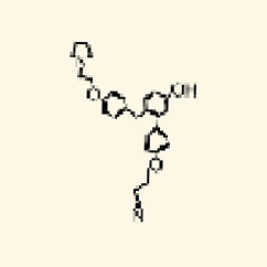 N#CCCCOc1ccc(-c2cc(O)ccc2Cc2ccc(OCCN3CCCC3)cc2)cc1